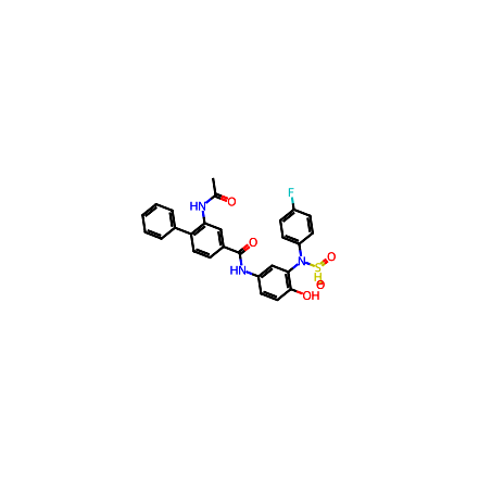 CC(=O)Nc1cc(C(=O)Nc2ccc(O)c(N(c3ccc(F)cc3)[SH](=O)=O)c2)ccc1-c1ccccc1